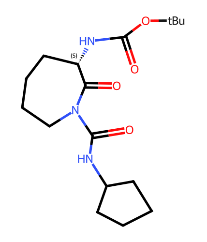 CC(C)(C)OC(=O)N[C@H]1CCCCN(C(=O)NC2CCCC2)C1=O